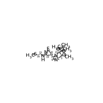 COc1cc2ncc(-c3cc(F)nc(NCCSC)c3)n2cc1S(=O)(=O)C(C)(C)C